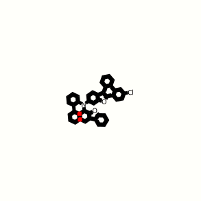 Clc1ccc2c(c1)c1ccccc1c1c3ccc(N(c4ccccc4-c4ccccc4)c4cccc5c4oc4ccccc45)cc3oc21